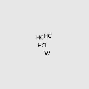 Cl.Cl.Cl.[W]